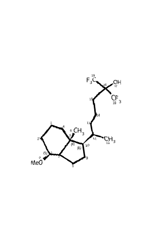 CO[C@H]1CCC[C@@]2(C)C1CC[C@@H]2C(C)CCCC(O)(C(F)(F)F)C(F)(F)F